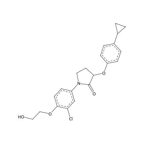 O=C1C(Oc2ccc(C3CC3)cc2)CCN1c1ccc(OCCO)c(Cl)c1